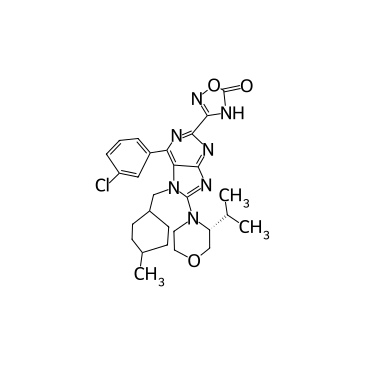 CC1CCC(Cn2c(N3CCOC[C@H]3C(C)C)nc3nc(-c4noc(=O)[nH]4)nc(-c4cccc(Cl)c4)c32)CC1